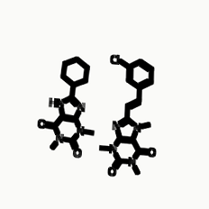 Cn1c(=O)c2[nH]c(C3CCCCC3)nc2n(C)c1=O.Cn1c(=O)c2c(nc(C=Cc3cccc(Cl)c3)n2C)n(C)c1=O